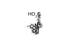 Cc1ccc(-c2nc3c(nc2-c2cccc4c2OCC4)CCCN3CCCCCCC(=O)O)cc1